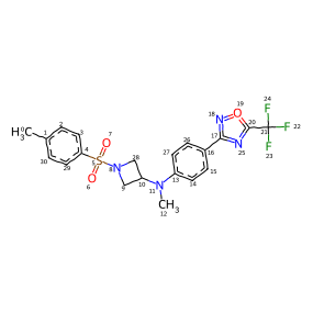 Cc1ccc(S(=O)(=O)N2CC(N(C)c3ccc(-c4noc(C(F)(F)F)n4)cc3)C2)cc1